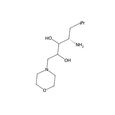 CC(C)C[C@H](N)C(O)C(O)CN1CCOCC1